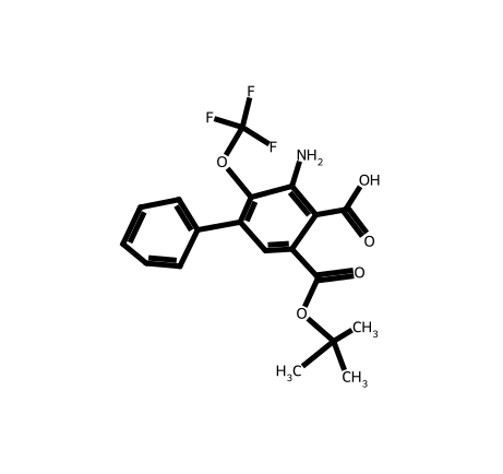 CC(C)(C)OC(=O)c1cc(-c2ccccc2)c(OC(F)(F)F)c(N)c1C(=O)O